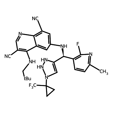 Cc1ccc([C@H](Nc2cc(C#N)c3ncc(C#N)c(NCC(C)(C)C)c3c2)C2=CN(C3(C(F)(F)F)CC3)NN2)c(F)n1